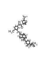 Cc1ccc(NC(=O)c2cc(C3CC3)on2)cc1C=Cn1cnc2c(Nc3ccc(P(C)(C)=O)cc3)ncnc21